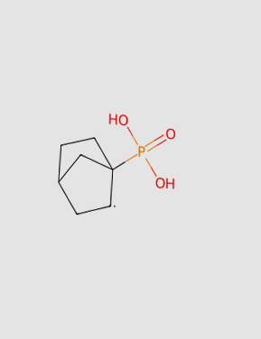 O=P(O)(O)C12[CH]CC(CC1)C2